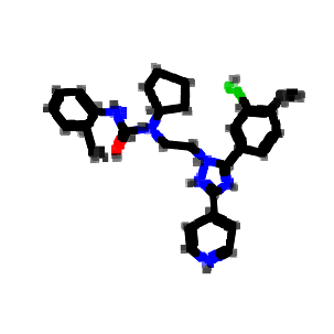 COc1ccc(-c2nc(-c3ccncc3)nn2CCN(C(=O)Nc2ccccc2C)C2CCCC2)cc1Cl